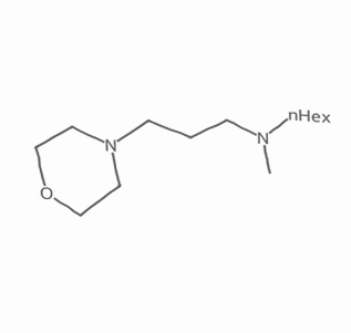 CCCCCCN(C)CCCN1CCOCC1